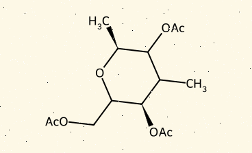 CC(=O)OCC1O[C@@H](C)C(OC(C)=O)C(C)[C@H]1OC(C)=O